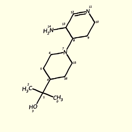 CC(C)(O)C1CCN(C2CCN=CC2N)CC1